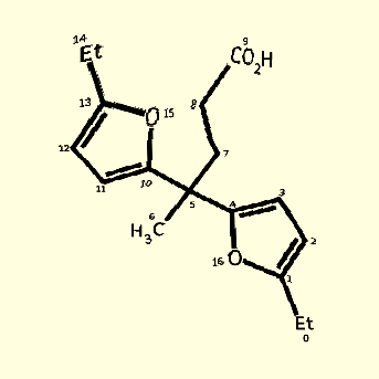 CCc1ccc(C(C)(CCC(=O)O)c2ccc(CC)o2)o1